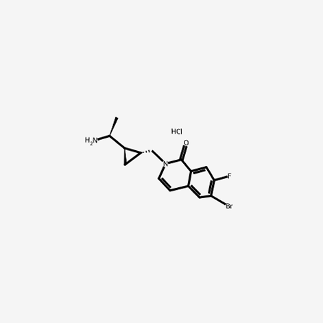 C[C@H](N)[C@@H]1C[C@H]1Cn1ccc2cc(Br)c(F)cc2c1=O.Cl